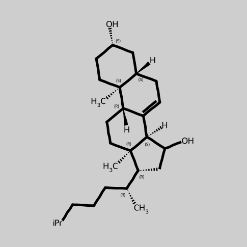 CC(C)CCC[C@@H](C)[C@H]1CC(O)[C@@H]2C3=CC[C@H]4C[C@@H](O)CC[C@]4(C)[C@H]3CC[C@]12C